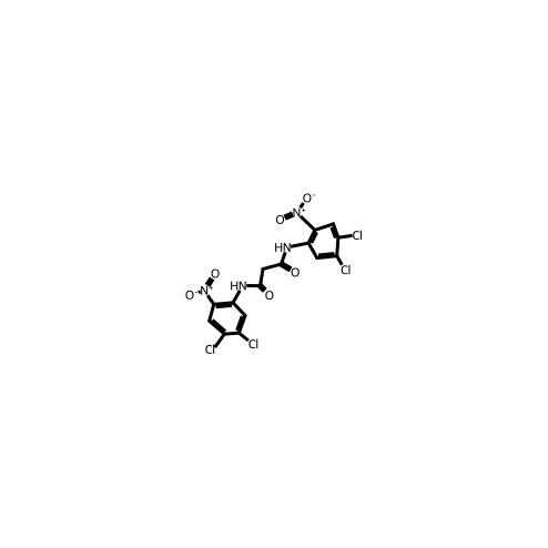 O=C(CC(=O)Nc1cc(Cl)c(Cl)cc1[N+](=O)[O-])Nc1cc(Cl)c(Cl)cc1[N+](=O)[O-]